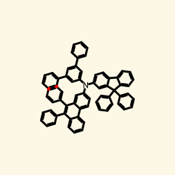 c1ccc(-c2cc(-c3ccccc3)cc(N(c3ccc4c(c3)C(c3ccccc3)(c3ccccc3)c3ccccc3-4)c3ccc4c(c3)c(-c3ccccc3)c(-c3ccccc3)c3ccccc34)c2)cc1